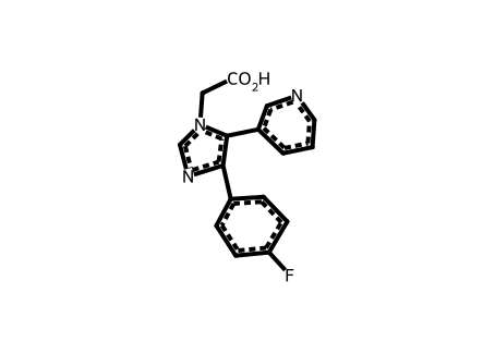 O=C(O)Cn1cnc(-c2ccc(F)cc2)c1-c1cccnc1